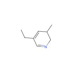 CCC1=CC(C)CN=C1